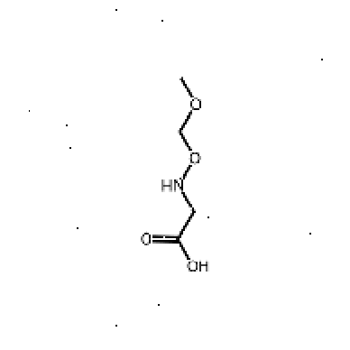 COCONCC(=O)O